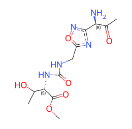 COC(=O)[C@@H](NC(=O)NCc1nc([C@@H](N)C(C)=O)no1)C(C)O